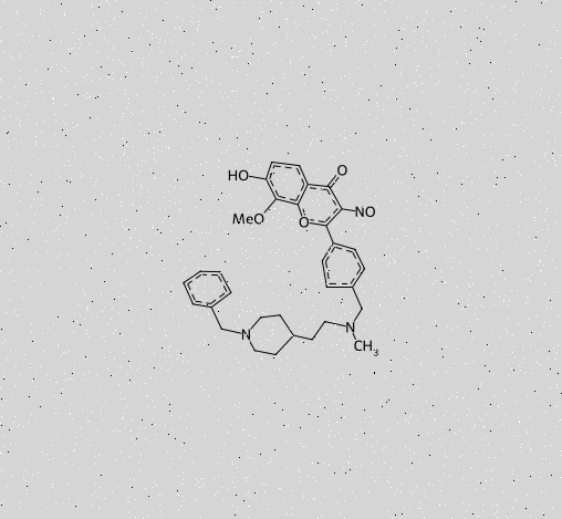 COc1c(O)ccc2c(=O)c(N=O)c(-c3ccc(CN(C)CCC4CCN(Cc5ccccc5)CC4)cc3)oc12